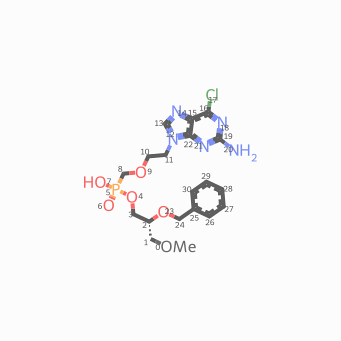 COC[C@H](COP(=O)(O)COCCn1cnc2c(Cl)nc(N)nc21)OCc1ccccc1